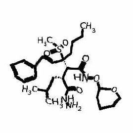 CCCCC(/C=C/c1ccccc1)([C@H](C(=O)NOC1CCCCO1)[C@@H](CC(C)C)C(=O)NN)S(C)(=O)=O